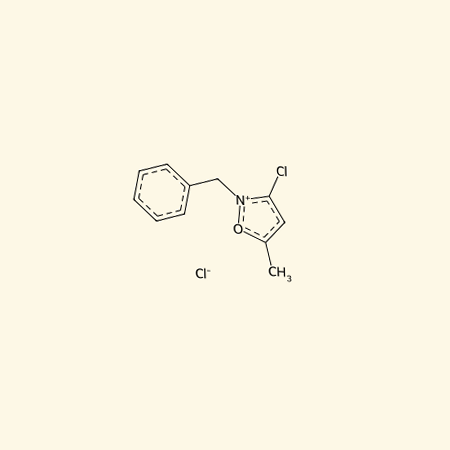 Cc1cc(Cl)[n+](Cc2ccccc2)o1.[Cl-]